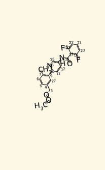 COOCc1ccc(C)c(-c2ccc(NC(=O)c3c(F)cccc3F)cn2)c1